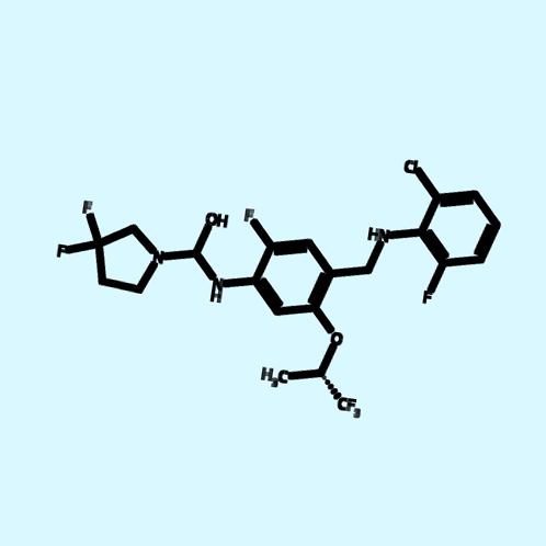 C[C@H](Oc1cc(NC(O)N2CCC(F)(F)C2)c(F)cc1CNc1c(F)cccc1Cl)C(F)(F)F